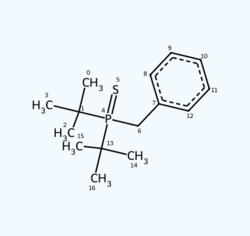 CC(C)(C)P(=S)(Cc1ccccc1)C(C)(C)C